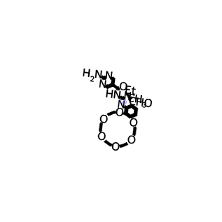 CCN(C)/C(=N\c1c(C=O)ccc2c1OCCOCCOCCOCCOCCO2)NC(=O)c1cnc(N)nc1